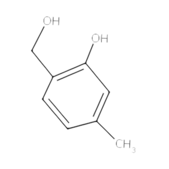 Cc1ccc(CO)c(O)c1